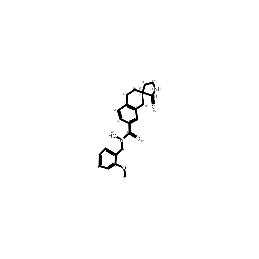 COc1ccccc1CN(O)C(=O)c1ccc2c(c1)C[C@]1(CCNC1=O)CC2